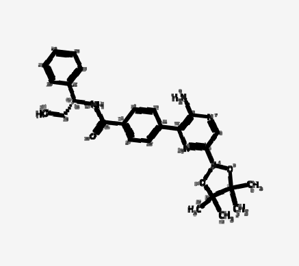 CC1(C)OB(c2cnc(N)c(-c3ccc(C(=O)N[C@H](CO)c4ccccc4)cc3)n2)OC1(C)C